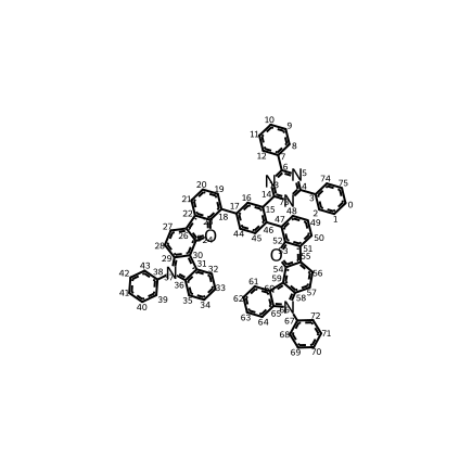 c1ccc(-c2nc(-c3ccccc3)nc(-c3cc(-c4cccc5c4oc4c5ccc5c4c4ccccc4n5-c4ccccc4)ccc3-c3cccc4c3oc3c4ccc4c3c3ccccc3n4-c3ccccc3)n2)cc1